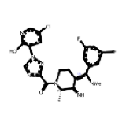 CN/C(=C1/CCN(C(=O)c2ncn(-c3cc(Cl)cnc3O)n2)[C@@H](C)C1=N)c1cc(F)cc(F)c1